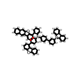 c1cc(-c2ccc(N(c3ccc(-c4cccc5oc6ccccc6c45)cc3)c3ccccc3-c3cccc4c3oc3cc5ccccc5cc34)cc2)cc(-n2c3ccccc3c3ccccc32)c1